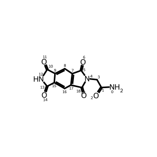 NC(=O)Cn1c(=O)c2cc3c(=O)[nH]c(=O)c3cc2c1=O